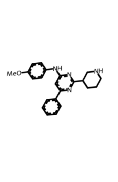 COc1ccc(Nc2cc(-c3ccccc3)nc(C3CCCNC3)n2)cc1